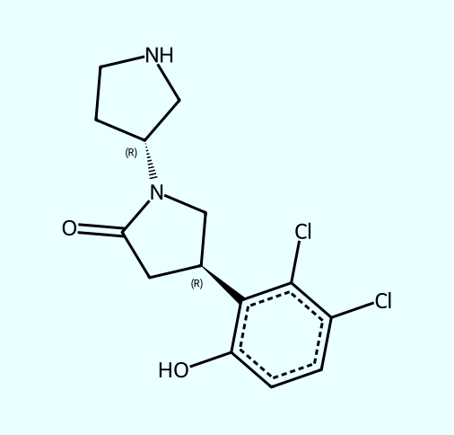 O=C1C[C@H](c2c(O)ccc(Cl)c2Cl)CN1[C@@H]1CCNC1